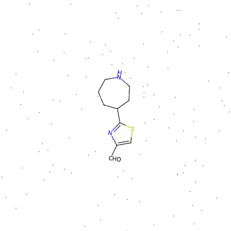 O=Cc1csc(C2CCCNCC2)n1